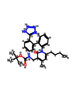 CCCCc1cc(C)c(CNC(=O)OC(C)(C)C)c(=O)n1-c1ccccc1-c1ccccc1-c1nnn[nH]1